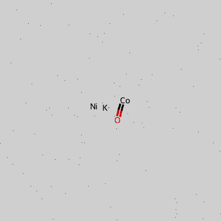 [K].[Ni].[O]=[Co]